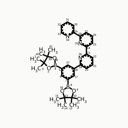 CC1(C)OB(c2cc(B3OC(C)(C)C(C)(C)O3)cc(-c3cccc(-c4cccc(-c5ccccn5)n4)n3)c2)OC1(C)C